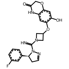 N=C(N1CC(Oc2cc3c(cc2O)OCC(=O)N3)C1)N1N=CC[C@H]1c1cccc(F)c1